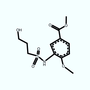 COC(=O)c1ccc(OC)c(NS(=O)(=O)CCCO)c1